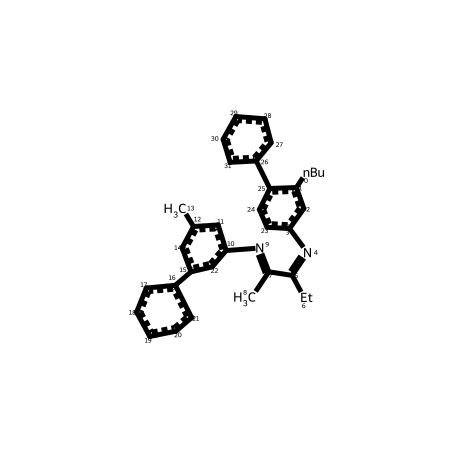 CCCCc1cc(N=C(CC)C(C)=Nc2cc(C)cc(-c3ccccc3)c2)ccc1-c1ccccc1